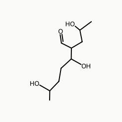 CC(O)CCC(O)C(C=O)CC(C)O